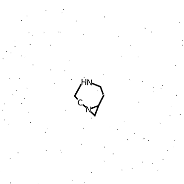 C1CNCCC2CN2C1